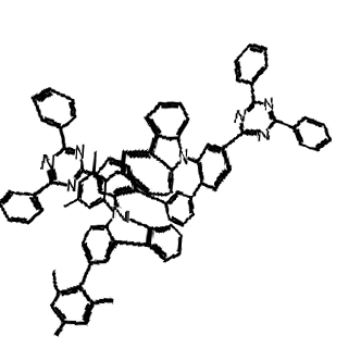 Cc1cc(C)c(-c2ccc3c(c2)c2ccccc2n3-c2cc(-c3nc(-c4ccccc4)nc(-c4ccccc4)n3)ccc2-c2cccc(-c3ccc(-c4nc(-c5ccccc5)nc(-c5ccccc5)n4)cc3-n3c4ccccc4c4cc(-c5c(C)cc(C)cc5C)ccc43)c2)c(C)c1